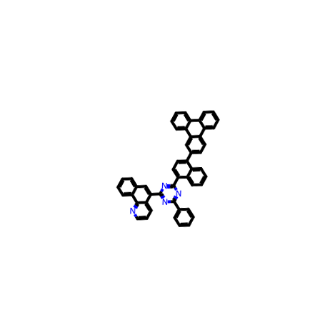 c1ccc(-c2nc(-c3ccc(-c4ccc5c6ccccc6c6ccccc6c5c4)c4ccccc34)nc(-c3cc4ccccc4c4ncccc34)n2)cc1